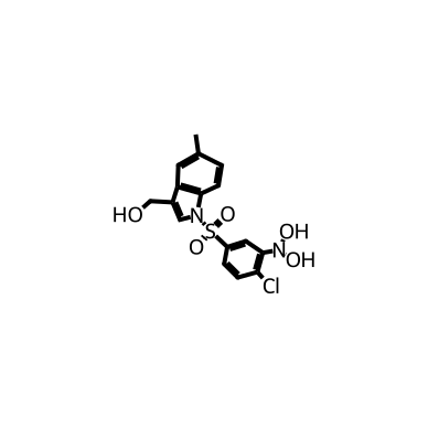 Cc1ccc2c(c1)c(CO)cn2S(=O)(=O)c1ccc(Cl)c(N(O)O)c1